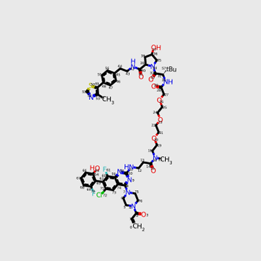 C=CC(=O)N1CCN(c2nc(NCCC(=O)N(C)CCOCCOCCOCC(=O)N[C@H](C(=O)N3CC(O)CC3C(=O)NCCc3ccc(-c4scnc4C)cc3)C(C)(C)C)nc3c(F)c(-c4c(O)cccc4F)c(Cl)cc23)CC1